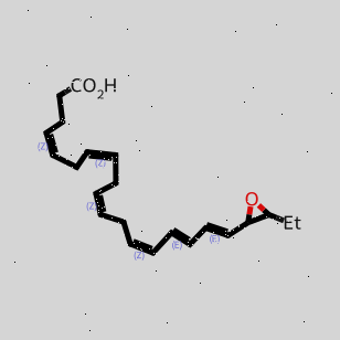 CCC1OC1/C=C/C=C/C=C\C/C=C\C/C=C\C/C=C\CCC(=O)O